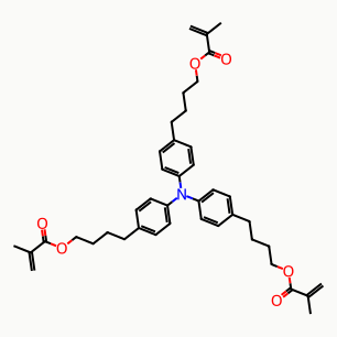 C=C(C)C(=O)OCCCCc1ccc(N(c2ccc(CCCCOC(=O)C(=C)C)cc2)c2ccc(CCCCOC(=O)C(=C)C)cc2)cc1